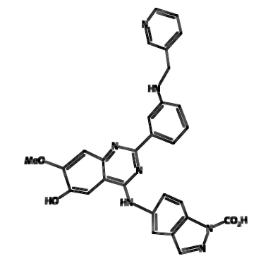 COc1cc2nc(-c3cccc(NCc4cccnc4)c3)nc(Nc3ccc4c(cnn4C(=O)O)c3)c2cc1O